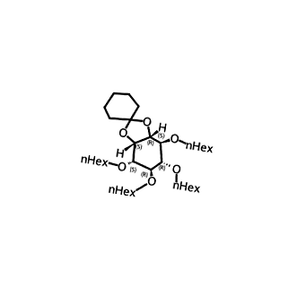 CCCCCCO[C@@H]1[C@@H](OCCCCCC)[C@H](OCCCCCC)[C@@H]2OC3(CCCCC3)O[C@@H]2[C@H]1OCCCCCC